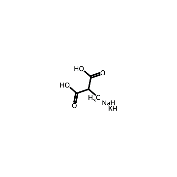 CC(C(=O)O)C(=O)O.[KH].[NaH]